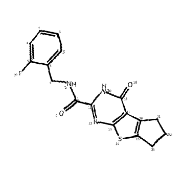 O=C(NCc1ccccc1F)c1nc2sc3c(c2c(=O)[nH]1)CCC3